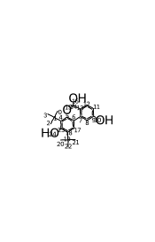 CC(C)(C)c1cc(-c2cc(O)ccc2C(=O)O)cc(C(C)(C)C)c1O